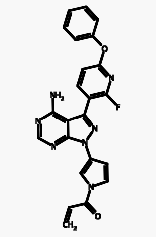 C=CC(=O)n1ccc(-n2nc(-c3ccc(Oc4ccccc4)nc3F)c3c(N)ncnc32)c1